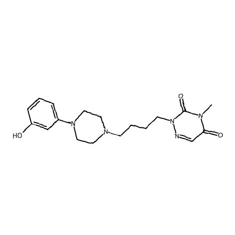 Cn1c(=O)cnn(CCCCN2CCN(c3cccc(O)c3)CC2)c1=O